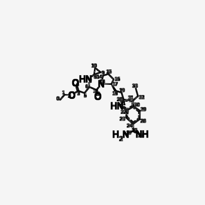 CCOC(=O)CC(NC1CC1)C(=O)N1CCC[C@H]1CCc1[nH]c2cc(C(=N)N)ccc2c1CC